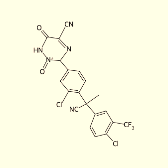 CC(C#N)(c1ccc(Cl)c(C(F)(F)F)c1)c1ccc(C2N=C(C#N)C(=O)N[N+]2=O)cc1Cl